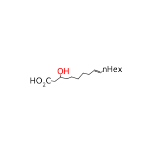 CCCCCCC=CCCCCCC(O)CC(=O)O